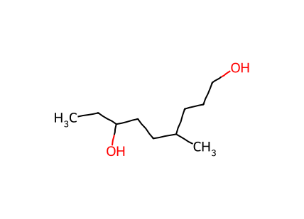 CCC(O)CCC(C)CCCO